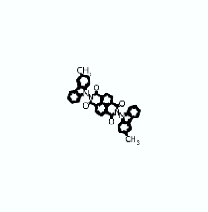 Cc1ccc2c(c1)c1ccccc1n2N1C(=O)c2ccc3c4c(ccc(c24)C1=O)C(=O)N(n1c2c(c4ccccc41)=CC(C)CC=2)C3=O